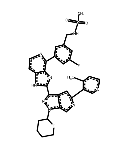 Cc1ccncc1-c1cc2c(-c3nc4c(-c5cc(F)cc(CNS(C)(=O)=O)c5)nccc4[nH]3)nn(C3CCCCO3)c2cn1